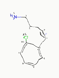 NCC/C=C\c1ccccc1Cl